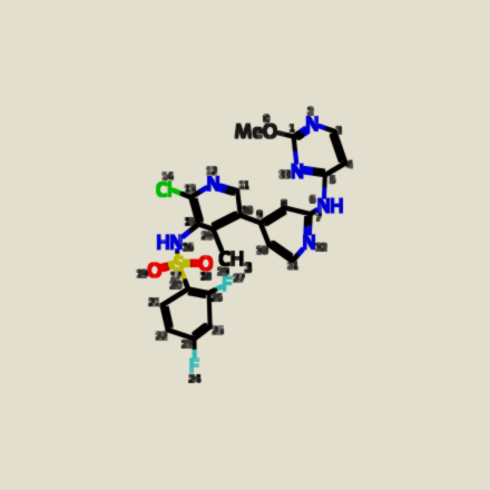 COc1nccc(Nc2cc(-c3cnc(Cl)c(NS(=O)(=O)c4ccc(F)cc4F)c3C)ccn2)n1